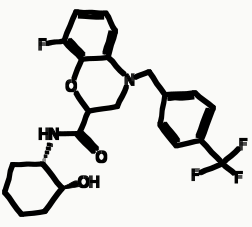 O=C(N[C@H]1CCCC[C@@H]1O)C1CN(Cc2ccc(C(F)(F)F)cc2)c2cccc(F)c2O1